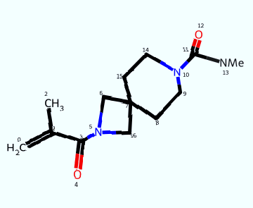 C=C(C)C(=O)N1CC2(CCN(C(=O)NC)CC2)C1